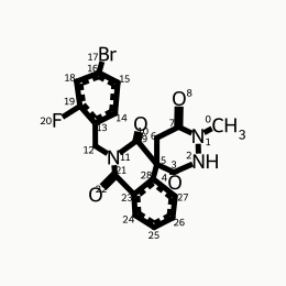 CN1NC(=O)C2(CC1=O)C(=O)N(Cc1ccc(Br)cc1F)C(=O)c1ccccc12